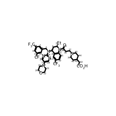 CC[C@@H]1CC(N(Cc2cc(C(F)(F)F)cc(C(F)(F)F)c2)c2ncc(N3CCOCC3)cn2)c2cc(C(F)(F)F)ccc2N1C(=O)CCN1CCC(CC(=O)O)CC1